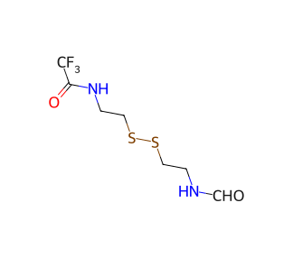 O=CNCCSSCCNC(=O)C(F)(F)F